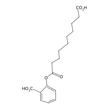 O=C(O)CCCCCCCCC(=O)Oc1ccccc1C(=O)O